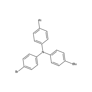 CC(C)c1ccc(N(c2ccc(Br)cc2)c2ccc(C(C)(C)C)cc2)cc1